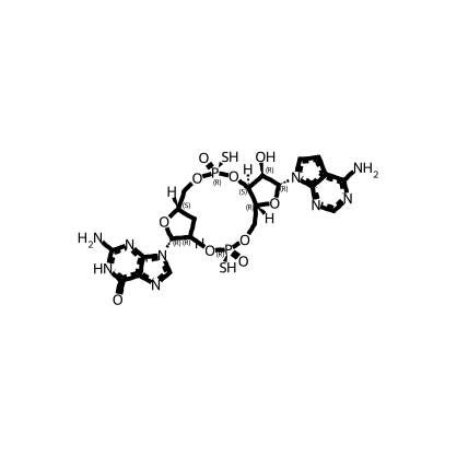 Nc1nc2c(ncn2[C@@H]2O[C@@H]3CO[P@@](=O)(S)O[C@H]4[C@@H](O)[C@H](n5ccc6c(N)ncnc65)O[C@@H]4CO[P@@](=O)(S)O[C@@H]2C3)c(=O)[nH]1